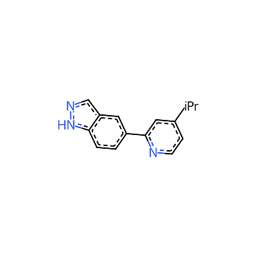 CC(C)c1ccnc(-c2ccc3[nH]ncc3c2)c1